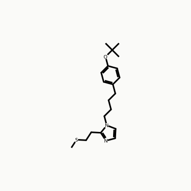 CSCCc1nccn1CCCCc1ccc(OC(C)(C)C)cc1